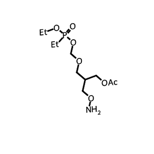 CCOP(=O)(CC)OCOCC(CON)COC(C)=O